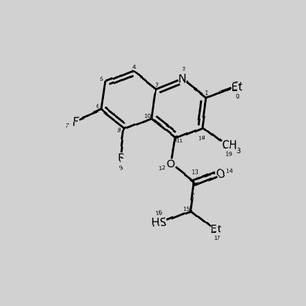 CCc1nc2ccc(F)c(F)c2c(OC(=O)C(S)CC)c1C